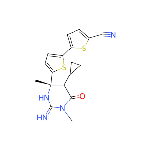 CN1C(=N)N[C@](C)(c2ccc(-c3ccc(C#N)s3)s2)C(C2CC2)C1=O